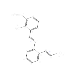 CCCCCc1cccc(/C=N/c2ccccc2/C=C/C(=O)O)c1C#N